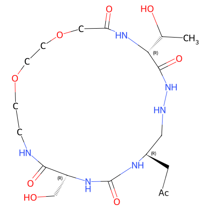 CC(=O)C[C@@H]1CNNC(=O)[C@@H](C(C)O)NC(=O)COCCOCCNC(=O)[C@@H](CO)NC(=O)N1